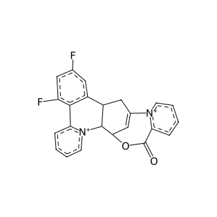 O=C1OC2C=C(CC3c4cc(F)cc(F)c4-c4cccc[n+]4C23)[n+]2ccccc21